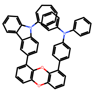 C1=CCC=C(n2c3ccccc3c3cc(-c4cccc5c4Oc4c(cccc4-c4ccc(N(c6ccccc6)c6ccccc6)cc4)O5)ccc32)C=C1